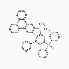 CC1(C)c2cc3c4ccccc4c4ccccc4c3cc2-c2c(-c3cccnc3)cc(P(=O)(c3ccccc3)c3ccccc3)cc21